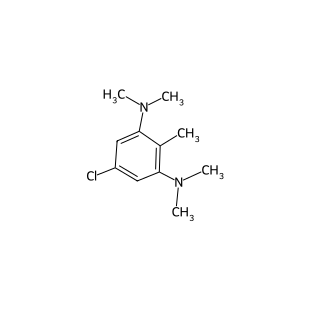 Cc1c(N(C)C)cc(Cl)cc1N(C)C